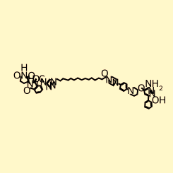 CN(c1cn(CCCCCCCCCCCCCCC(=O)N2CCN(c3ccc(N4CCCC(Oc5cc(-c6ccccc6O)nnc5N)C4)cc3)CC2)nn1)c1cccc2c1C(=O)N(C1CCC(=O)NC1=O)C2=O